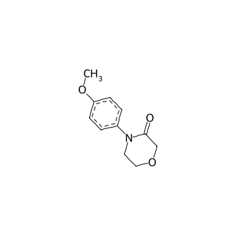 COc1ccc(N2CCOCC2=O)cc1